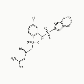 N=C(C=C(N)N)CS(=O)(=O)c1ccc(Cl)cc1NS(=O)(=O)c1cc2ccccc2o1